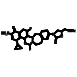 CC(=O)NCC1CN(c2ccc3c(c2)CCCN(C2=C(F)Cc4c(n(C5CC5)cc(C(=O)O)c4=O)N2OC(F)F)C3)C(=O)O1